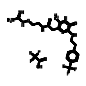 Cc1[nH]c(=O)c(NCCc2ccc(C(F)(F)F)cc2)nc1CC(=O)NCCONC(=N)N.O=C(O)C(F)(F)F